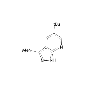 CNc1n[nH]c2ncc(C(C)(C)C)cc12